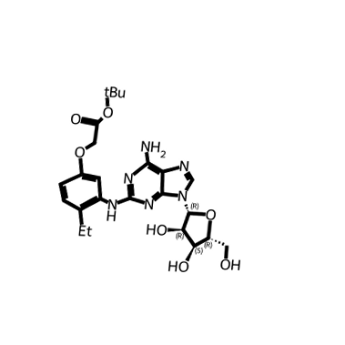 CCc1ccc(OCC(=O)OC(C)(C)C)cc1Nc1nc(N)c2ncn([C@@H]3O[C@H](CO)[C@@H](O)[C@H]3O)c2n1